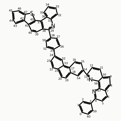 c1ccc(-c2ccc3ccc4ccc(-c5ccc6c(ccc7ccc(-c8ccc(-c9nc%10ccccc%10c%10c9ccc9c%11ccccc%11sc9%10)cc8)cc76)c5)nc4c3n2)cc1